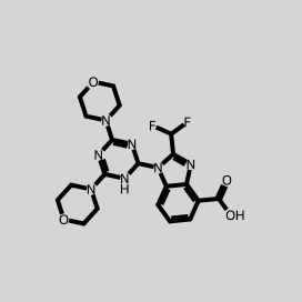 O=C(O)c1cccc2c1nc(C(F)F)n2C1N=C(N2CCOCC2)N=C(N2CCOCC2)N1